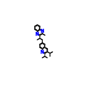 Cc1nc2ccccc2nc1C(C)Cc1ccc2nc(C(C)C)c(C(C)C)cc2c1